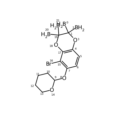 BC1(B)Oc2ccc(OC3CCCCO3)c(Br)c2OC1(B)B